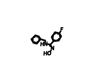 O/N=C(\NCc1ccccc1)c1ccc(F)cc1